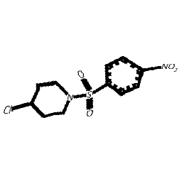 O=[N+]([O-])c1ccc(S(=O)(=O)N2CCC(Cl)CC2)cc1